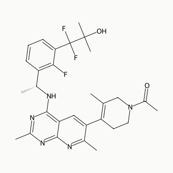 CC(=O)N1CCC(c2cc3c(N[C@H](C)c4cccc(C(F)(F)C(C)(C)O)c4F)nc(C)nc3nc2C)=C(C)C1